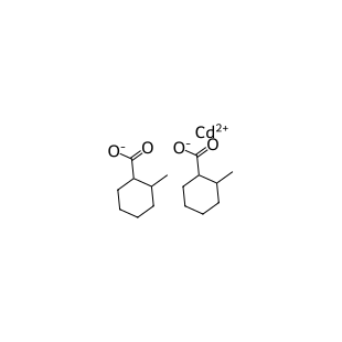 CC1CCCCC1C(=O)[O-].CC1CCCCC1C(=O)[O-].[Cd+2]